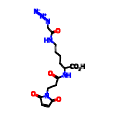 [N-]=[N+]=NCC(=O)NCCCCC(NC(=O)CCN1C(=O)C=CC1=O)C(=O)O